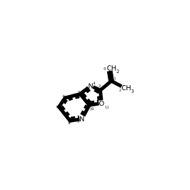 C=C(C)c1nc2cccnc2o1